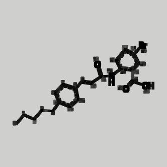 CCCCCc1ccc(/C=C/C(=O)Nc2ccc(Br)cc2C(=O)O)cc1